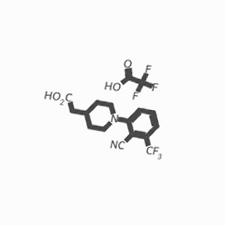 N#Cc1c(N2CCC(CC(=O)O)CC2)cccc1C(F)(F)F.O=C(O)C(F)(F)F